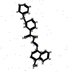 O=C(N/N=C/c1ccc(O)c2ncccc12)c1cccc(Oc2ccccc2)c1